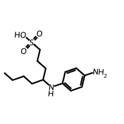 CCCCC(CCCS(=O)(=O)O)Nc1ccc(N)cc1